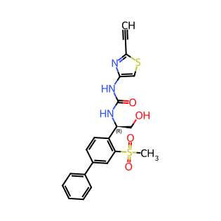 C#Cc1nc(NC(=O)N[C@@H](CO)c2ccc(-c3ccccc3)cc2S(C)(=O)=O)cs1